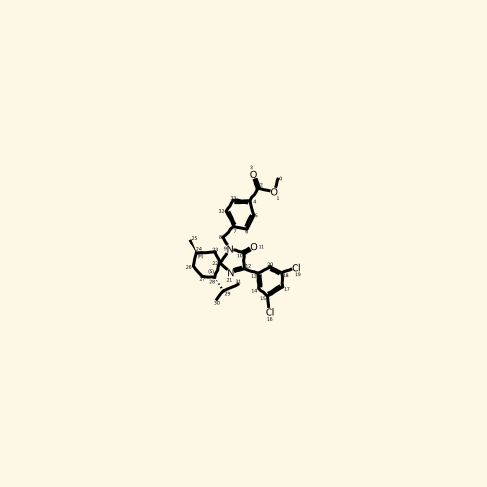 COC(=O)c1ccc(CN2C(=O)C(c3cc(Cl)cc(Cl)c3)=NC23C[C@H](C)CC[C@H]3C(C)C)cc1